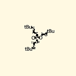 CC(C)(C)SCOP(=O)(SCSC(C)(C)C)SCSC(C)(C)C